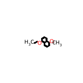 CCCOc1cccc2c(OC)cccc12